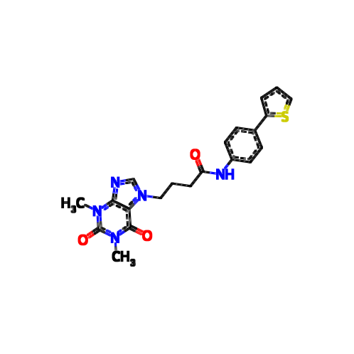 Cn1c(=O)c2c(ncn2CCCC(=O)Nc2ccc(-c3cccs3)cc2)n(C)c1=O